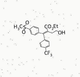 CCOC(=O)C(CCO)=C(c1ccc(C(F)(F)F)cc1)c1ccc(S(C)(=O)=O)cc1